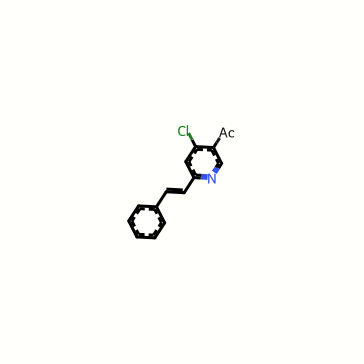 CC(=O)c1cnc(/C=C/c2ccccc2)cc1Cl